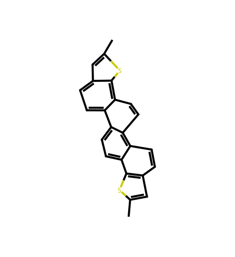 Cc1cc2ccc3c4ccc5c(ccc6cc(C)sc65)c4ccc3c2s1